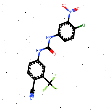 N#Cc1ccc(NC(=O)Nc2ccc(Cl)c([N+](=O)[O-])c2)cc1C(F)(F)F